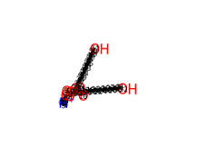 C[N+](C)(C)CCOP(=O)([O-])OCC(COC(=O)CCCCCCCCCCCCCCCO)OC(=O)CCCCCCCCCCCCCCCO